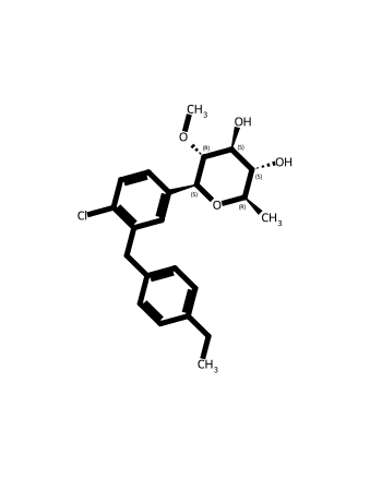 CCc1ccc(Cc2cc([C@@H]3O[C@H](C)[C@@H](O)[C@H](O)[C@H]3OC)ccc2Cl)cc1